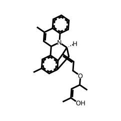 CC1=CC2c3cc(C)cc4c3/C(=C\COC(C)/C=C(/C)O)[C@H](C4)N2c2ccccc21